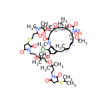 COc1cc2cc(c1Cl)N(C)C(=O)C[C@H](OC(=O)[C@@H](C)N(C)C(=O)CCSC1CC(=O)N(CCOC(C)(C)CCOC(C)(C)CCN3C(=O)CC(SC(C)C)C3=O)C1=O)[C@]1(C)O[C@H]1[C@H](C)[C@@H]1C[C@@](O)(NC(=O)O1)[C@H](OC)/C=C/C=C(\C)C2